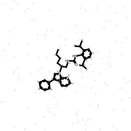 CCCCC(CNC(=O)Nc1c(C(C)C)cccc1C(C)C)n1cc(-c2ccccc2)c2cccnc21